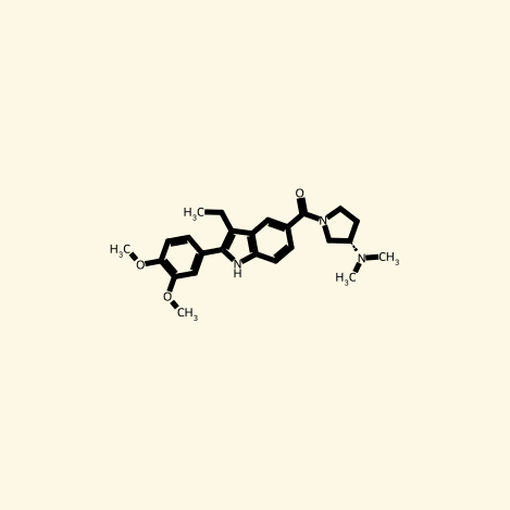 CCc1c(-c2ccc(OC)c(OC)c2)[nH]c2ccc(C(=O)N3CC[C@H](N(C)C)C3)cc12